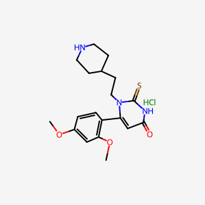 COc1ccc(-c2cc(=O)[nH]c(=S)n2CCC2CCNCC2)c(OC)c1.Cl